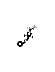 CC(C)(C)OC(=O)N1C[C@@H]2C(COCc3ccccc3)[C@@H]2C1